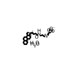 C[C@H](CCC(=O)NCCC[N+](C)(C)CCCS(=O)(=O)[O-])[C@H]1CCC2C3CCC4CCCC[C@]4(C)C3CC[C@@]21C.O.O